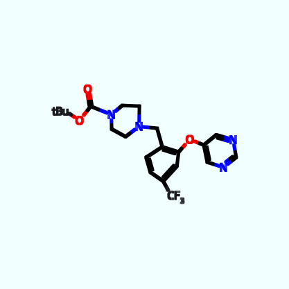 CC(C)(C)OC(=O)N1CCN(Cc2ccc(C(F)(F)F)cc2Oc2cncnc2)CC1